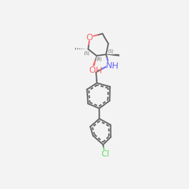 C[C@@H]1OCC[C@](C)(NCc2ccc(-c3ccc(Cl)cc3)cc2)[C@H]1O